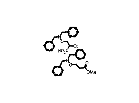 CCC(CON(Cc1ccccc1)Cc1ccccc1)C(=O)O.COC(=O)CCON(Cc1ccccc1)Cc1ccccc1